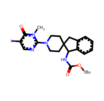 Cn1c(N2CCC3(CC2)Cc2ccccc2C3NC(=O)OC(C)(C)C)ncc(I)c1=O